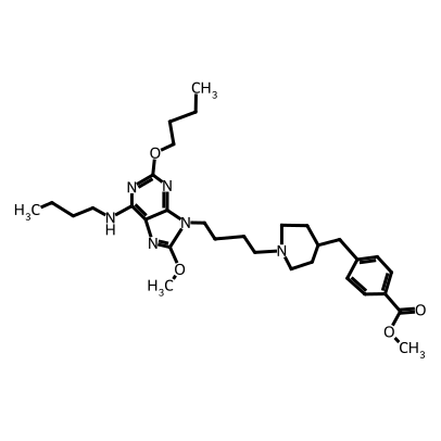 CCCCNc1nc(OCCCC)nc2c1nc(OC)n2CCCCN1CCC(Cc2ccc(C(=O)OC)cc2)CC1